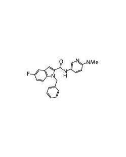 CNc1ccc(NC(=O)c2cc3cc(F)ccc3n2Cc2ccccc2)cn1